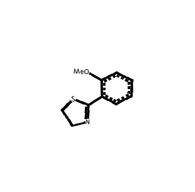 COc1ccccc1C1=N[CH]CS1